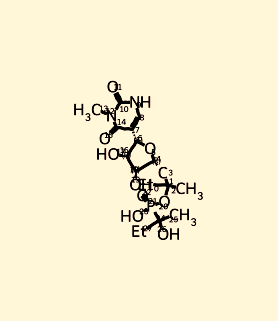 CCC(C)(C[C@H]1O[C@@H](c2c[nH]c(=O)n(C)c2=O)[C@H](O)[C@@H]1O)OP(=O)(O)C(C)(O)CC